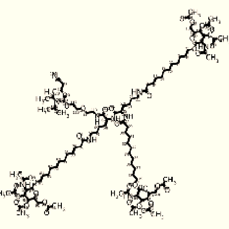 CC(=O)NC1C(OCCCCCCCCCCCC(=O)NCCCCC(NC(=O)CCCCCCCCCCCOC2OC(COC(C)=O)C(OC(C)=O)C(OC(C)=O)C2NC(C)=O)C(=O)NC(CCCCNC(=O)CCCCCCCCCCCOC2OC(COC(C)=O)C(OC(C)=O)C(OC(C)=O)C2NC(C)=O)C(=O)NCCOCCOP(OCCC#N)N(C(C)C)C(C)C)OC(COC(C)=O)C(OC(C)=O)C1OC(C)=O